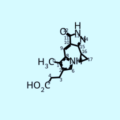 Cc1c(CCC(=O)O)c[nH]c1/C=C1/C(=O)NN=C1C1CC1